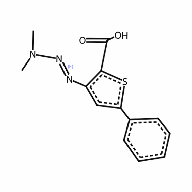 CN(C)/N=N/c1cc(-c2ccccc2)sc1C(=O)O